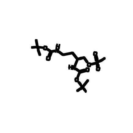 CC(C)(C)OC(=O)NCCC(COS(C)(=O)=O)NC(=O)OC(C)(C)C